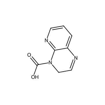 O=C(O)N1CC=Nc2cccnc21